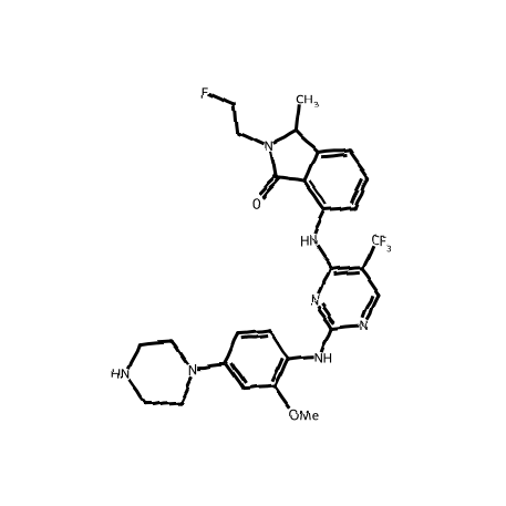 COc1cc(N2CCNCC2)ccc1Nc1ncc(C(F)(F)F)c(Nc2cccc3c2C(=O)N(CCF)C3C)n1